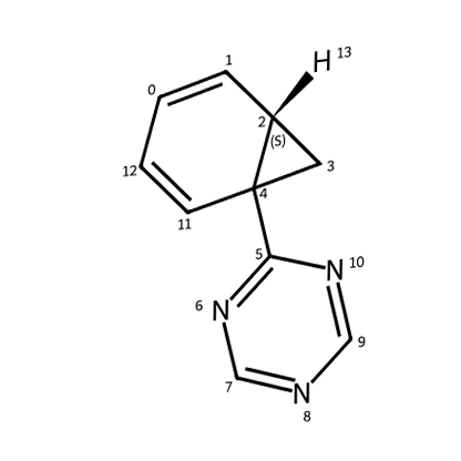 C1=C[C@@H]2CC2(c2ncncn2)C=C1